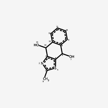 Cc1nc2c(s1)C(O)c1ccccc1C2O